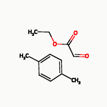 CCOC(=O)C=O.Cc1ccc(C)cc1